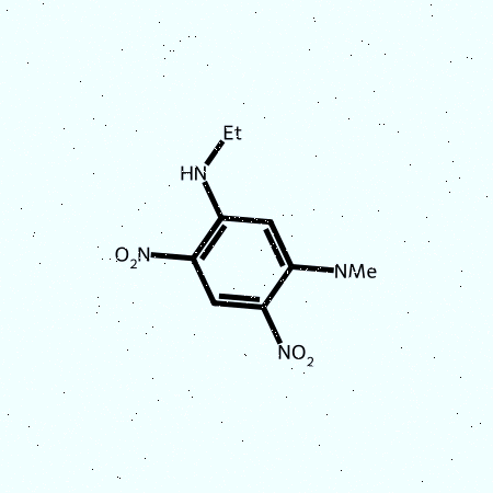 CCNc1cc(NC)c([N+](=O)[O-])cc1[N+](=O)[O-]